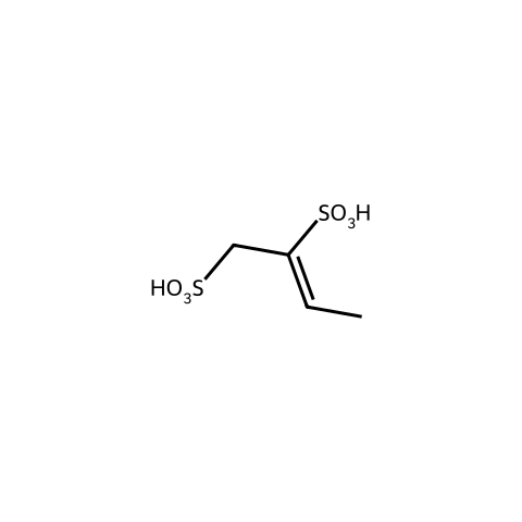 CC=C(CS(=O)(=O)O)S(=O)(=O)O